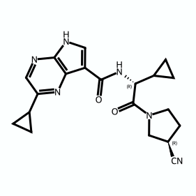 N#C[C@@H]1CCN(C(=O)[C@H](NC(=O)c2c[nH]c3ncc(C4CC4)nc23)C2CC2)C1